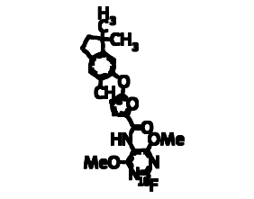 COc1nc([18F])nc(OC)c1NC(=O)c1ccc(Oc2cc3c(cc2C)CCC3(C)C)o1